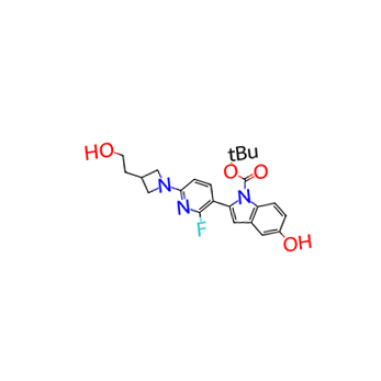 CC(C)(C)OC(=O)n1c(-c2ccc(N3CC(CCO)C3)nc2F)cc2cc(O)ccc21